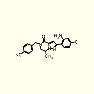 C[C@H]1CN(Cc2ccc(C#N)cc2)C(=O)c2cc(-c3ccc(Cl)cc3N)nn21